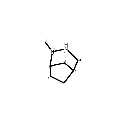 CN1NCC2CCC1C2